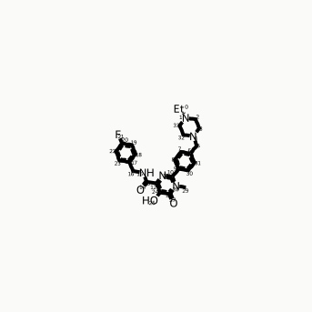 CCN1CCN(Cc2ccc(-c3nc(C(=O)NCc4ccc(F)cc4)c(O)c(=O)n3C)cc2)CC1